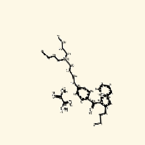 CCCCc1cc2ccccn2c1C(=O)c1ccc(CCCCN(CCCC)CCCC)cc1.O=C(O)C(=O)O